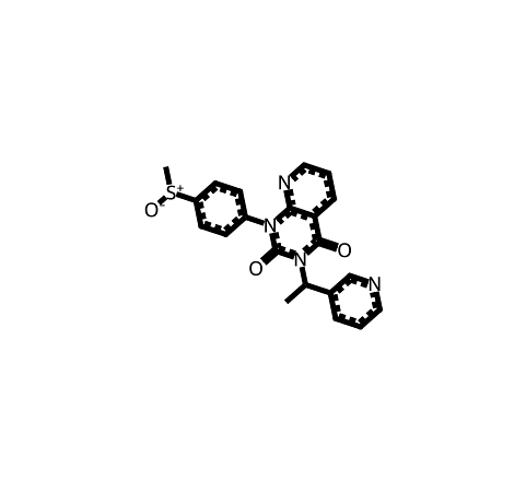 CC(c1cccnc1)n1c(=O)c2cccnc2n(-c2ccc([S+](C)[O-])cc2)c1=O